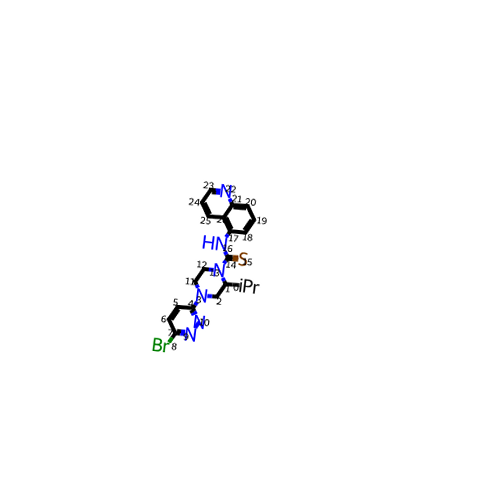 CC(C)C1CN(c2ccc(Br)nn2)CCN1C(=S)Nc1cccc2ncccc12